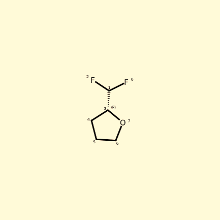 FC(F)[C@H]1CCCO1